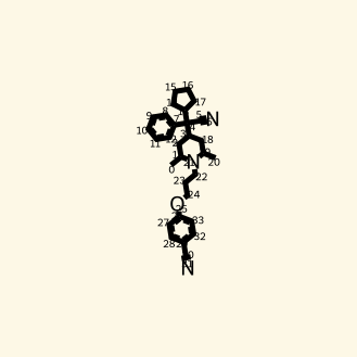 CC1CC(C(C#N)(c2ccccc2)C2CCCC2)CC(C)N1CCCOc1ccc(C#N)cc1